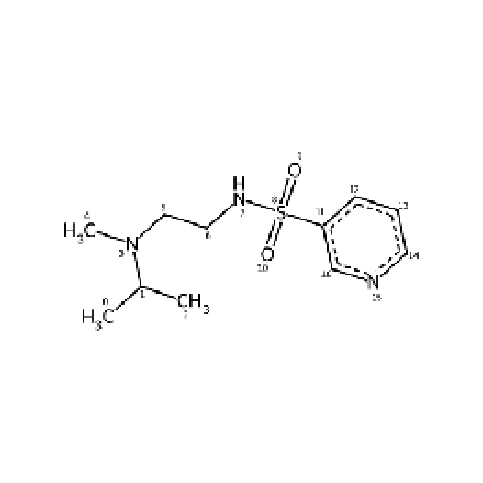 CC(C)N(C)CCNS(=O)(=O)c1cccnc1